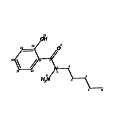 CCCCCN(N)C(=O)c1ccccc1O